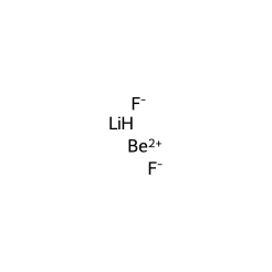 [Be+2].[F-].[F-].[LiH]